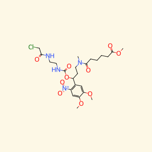 COC(=O)CCCCC(=O)N(C)CCC(OC(=O)NCCNC(=O)CCl)c1cc(OC)c(OC)cc1[N+](=O)[O-]